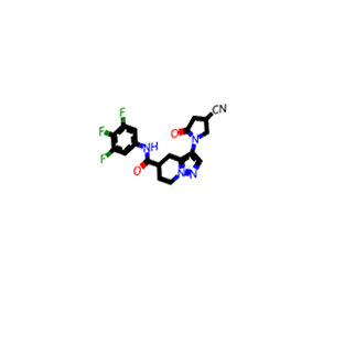 N#CC1CC(=O)N(c2cnn3c2CC(C(=O)Nc2cc(F)c(F)c(F)c2)CC3)C1